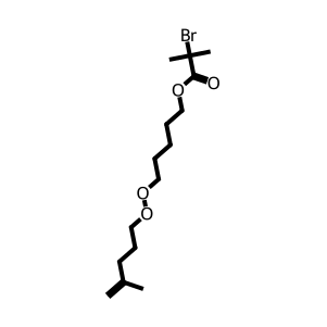 C=C(C)CCCOOCCCCCOC(=O)C(C)(C)Br